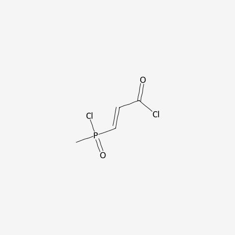 CP(=O)(Cl)C=CC(=O)Cl